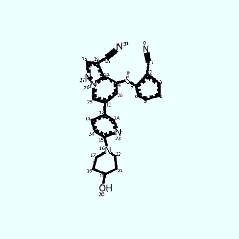 N#Cc1ccccc1Sc1cc(-c2ccc(N3CCC(O)CC3)nc2)cn2ncc(C#N)c12